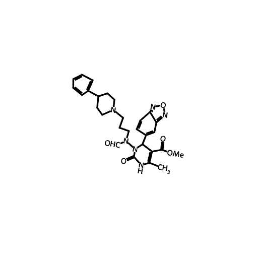 COC(=O)C1=C(C)NC(=O)N(N(C=O)CCCN2CCC(c3ccccc3)CC2)C1c1ccc2nonc2c1